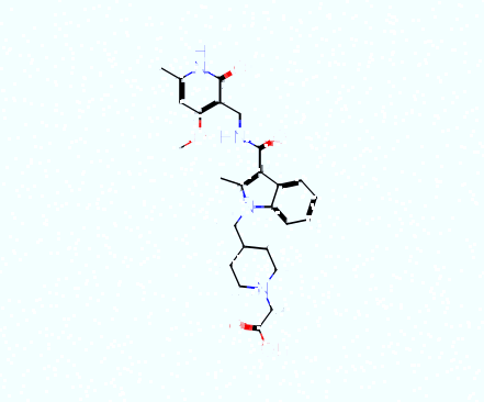 COc1cc(C)[nH]c(=O)c1CNC(=O)c1c(C)n([C@@H](C)C2CCN(CC(=O)O)CC2)c2ccccc12